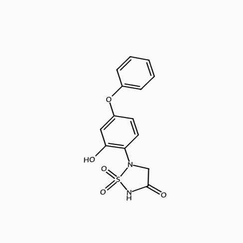 O=C1CN(c2ccc(Oc3ccccc3)cc2O)S(=O)(=O)N1